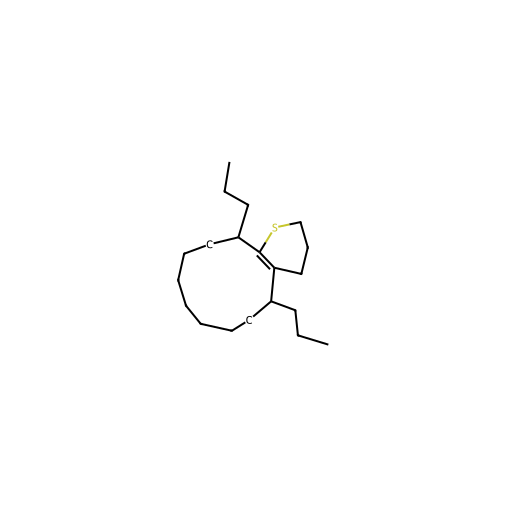 CCCC1CCCCCCCC(CCC)C2=C1CCCS2